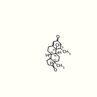 CC1CC(=O)C=C2CC[C@@H]3[C@@H](CC[C@]4(C)C(=O)CC[C@@H]34)[C@]21C